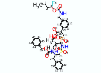 CCCC(F)OC(=O)NCc1cccc(C(CP(=O)(O)C(NS(=O)(=O)CC(Cc2ccccc2)NC(=O)OCc2ccccc2)C(C)C)C(=O)O)c1